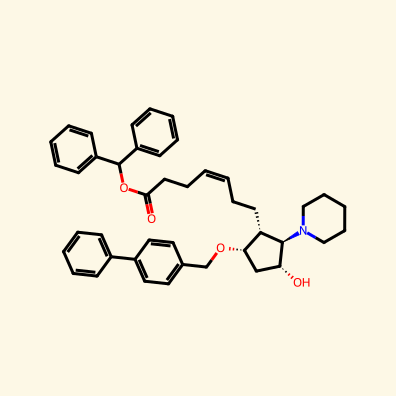 O=C(CC/C=C\CC[C@@H]1[C@@H](N2CCCCC2)[C@H](O)C[C@@H]1OCc1ccc(-c2ccccc2)cc1)OC(c1ccccc1)c1ccccc1